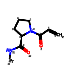 C=CC(=O)N1CCC[C@@H]1C(=O)NC(C)C